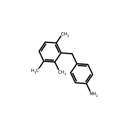 Cc1ccc(C)c(Cc2ccc(N)cc2)c1C